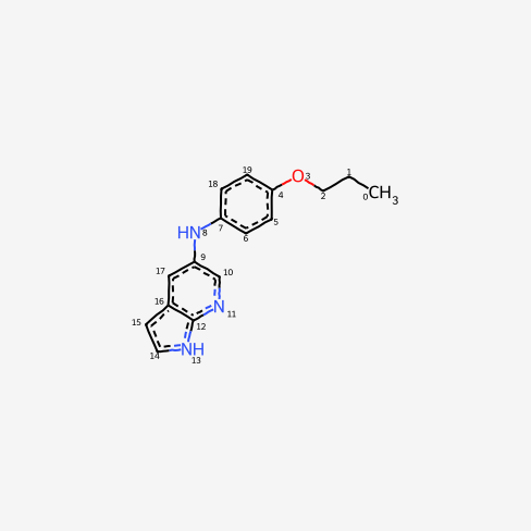 CCCOc1ccc(Nc2cnc3[nH]ccc3c2)cc1